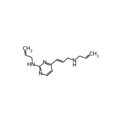 C=CCNC/C=C/c1ccnc(NCC=C)n1